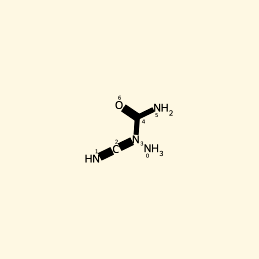 N.N=C=NC(N)=O